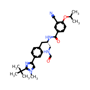 CC(C)Oc1ccc(C(=O)N[C@H](CNC=O)Cc2ccc(-c3cn(C)c(C(C)(C)C)n3)cc2)cc1C#N